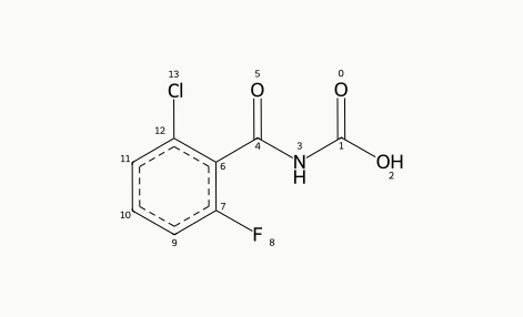 O=C(O)NC(=O)c1c(F)cccc1Cl